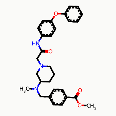 COC(=O)c1ccc(CN(C)C2CCCN(CC(=O)Nc3ccc(Oc4ccccc4)cc3)C2)cc1